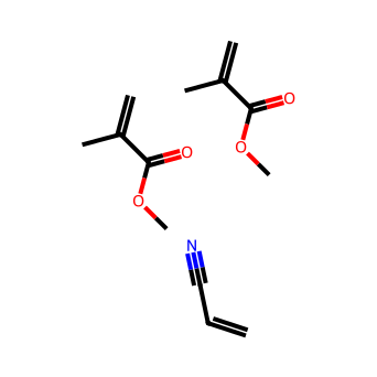 C=C(C)C(=O)OC.C=C(C)C(=O)OC.C=CC#N